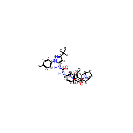 Cc1ccc(-n2nc(C(C)(C)C)cc2NC(=O)Nc2ccc(CC3CC4CCC(C3)N4C(=O)c3c(C)noc3C)cc2)cc1